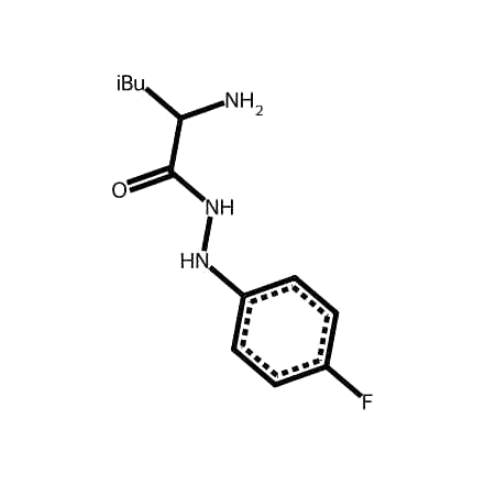 CCC(C)C(N)C(=O)NNc1ccc(F)cc1